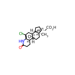 C[C@]12CC[C@H]3[C@@H](CC(Cl)=C4NC(=O)CC[C@@]43C)[C@@H]1CC[C@@H]2CC(=O)O